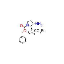 CCOC(=O)C(C)[C@@H]1[C@@H](N)CCN1C(=O)OCc1ccccc1